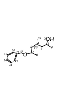 CC(O)C[C@@H](C)CC(C)OCc1ccccc1